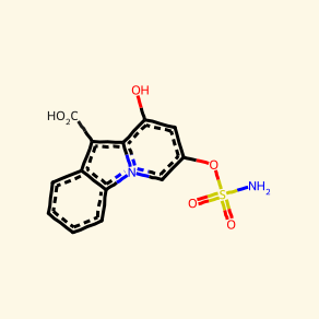 NS(=O)(=O)Oc1cc(O)c2c(C(=O)O)c3ccccc3n2c1